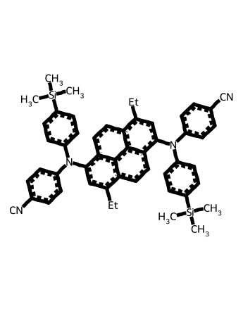 [C-]#[N+]c1ccc(N(c2ccc([Si](C)(C)C)cc2)c2cc(CC)c3ccc4c(N(c5ccc(C#N)cc5)c5ccc([Si](C)(C)C)cc5)cc(CC)c5ccc2c3c54)cc1